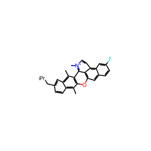 Cc1c2c(c(C)c3cc(CC(C)C)ccc13)-c1c3c(cc4ccc(F)cc4c3cc[n+]1C)O2